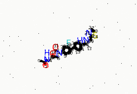 CC(=O)NC[C@H]1CN(c2ccc(-c3ccc([C@@H](C)NCc4nccs4)cc3)c(F)c2)C(=O)O1